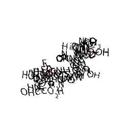 CCCC[C@@H](C(=O)N1C[C@H](O)C[C@@H]1C(=O)N[C@H](C=O)CC(=O)O)N(C)C(=O)[C@H](Cc1ccccc1)N(C)C(=O)[C@H](Cc1cc(F)c(F)c(F)c1)NC(=O)CSC[C@H](NC(=O)[C@H](CN)NC(=O)[C@H](Cc1ccc(O)cc1)NC(=O)[C@H](Cc1c[nH]c2ccccc12)NC(=O)[C@H]1C[C@@H](O)CN1C(=O)[C@H](Cc1ccc(O)cc1)NC(=O)[C@H](Cc1ccccc1)N(C)C(=O)[C@@H](N)C(C)C)C(=O)NCC(N)O